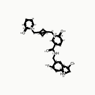 O=C(NCc1cc2c(Cl)c[nH]c2cc1F)c1ccc(=O)n(CC23CC(Cn4ccccc4=O)(C2)C3)c1